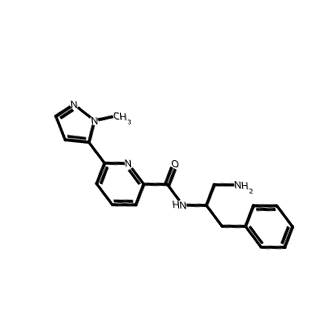 Cn1nccc1-c1cccc(C(=O)NC(CN)Cc2ccccc2)n1